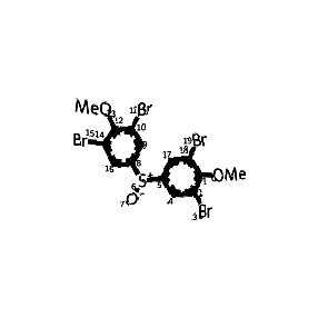 COc1c(Br)cc([S+]([O-])c2cc(Br)c(OC)c(Br)c2)cc1Br